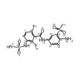 CCCS(=O)(=O)Nc1ccc(F)c(C(=O)Nc2cnc(N)c(S(C)(=O)=O)c2)c1F